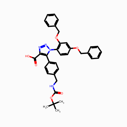 CC(C)(C)OC(=O)NCc1ccc(-c2c(C(=O)O)nnn2-c2ccc(OCc3ccccc3)cc2OCc2ccccc2)cc1